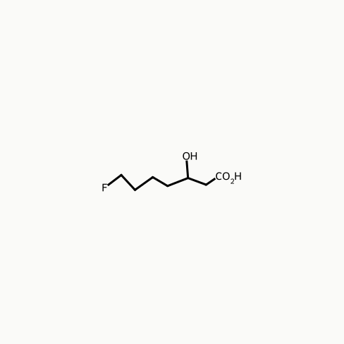 O=C(O)CC(O)CCCCF